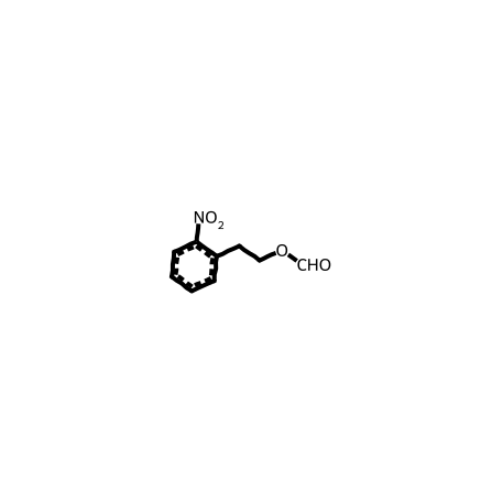 O=COCCc1ccccc1[N+](=O)[O-]